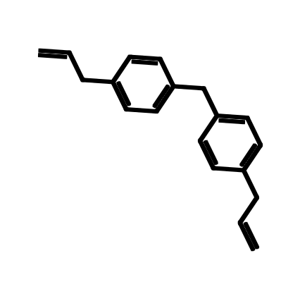 C=CCc1ccc(Cc2ccc(CC=C)cc2)cc1